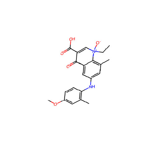 CC[N+]1([O-])C=C(C(=O)O)C(=O)c2cc(Nc3ccc(OC)cc3C)cc(C)c21